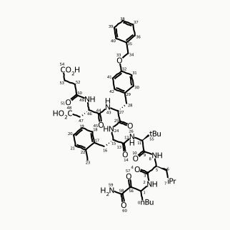 CCCCC(NC(=O)[C@H](CC(C)C)NC(=O)[C@@H](NC(=O)[C@H](Cc1ccccc1C)NC(=O)[C@@H](Cc1ccc(OCc2ccccc2)cc1)NC(=O)[C@H](CC(=O)O)NC(=O)CCC(=O)O)C(C)(C)C)C(=O)C(N)=O